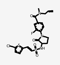 C=CCN(C)C(=O)c1ccc(N2CCC(NS(=O)(=O)C=Cc3ccc(Cl)s3)C2=O)c(F)c1